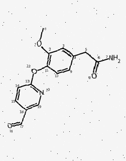 COc1cc(CC(N)=O)ccc1Oc1ccc(C=O)cn1